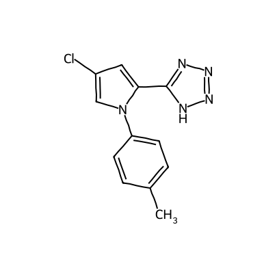 Cc1ccc(-n2cc(Cl)cc2-c2nnn[nH]2)cc1